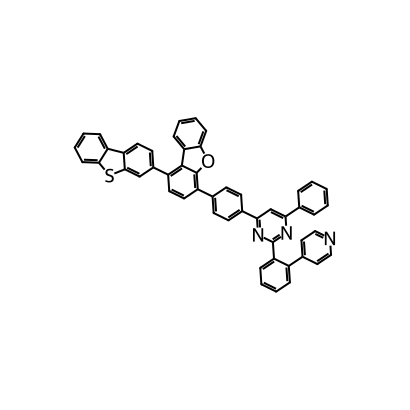 c1ccc(-c2cc(-c3ccc(-c4ccc(-c5ccc6c(c5)sc5ccccc56)c5c4oc4ccccc45)cc3)nc(-c3ccccc3-c3ccncc3)n2)cc1